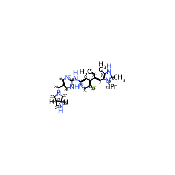 C=C/C(=C\C1=C(C)NC(C)N1C(C)C)c1cc(NC2=NC=C(CN3C[C@@H]4CN[C@@H]4C3)CN2)ncc1F